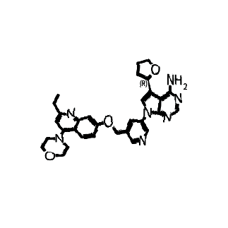 CCc1cc(N2CCOCC2)c2ccc(OCc3cncc(-n4cc([C@H]5CCCO5)c5c(N)ncnc54)c3)cc2n1